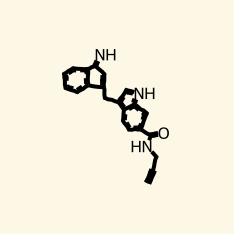 C#CCNC(=O)c1ccc2c(CC3=CC(=N)c4ccccc43)c[nH]c2c1